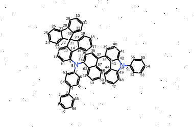 c1ccc(-c2ccc(N(c3cccc4c3-c3ccccc3C43c4ccccc4-c4ccccc43)c3ccc(-c4cccc5c4c4ccccc4n5-c4ccccc4)c4ccccc34)cc2)cc1